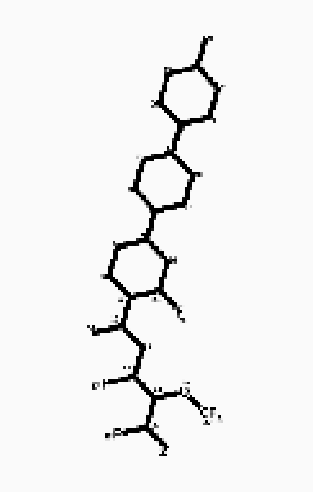 CC1CCC(C2CCC(C3CCC(C(C)CC(F)C(OC(F)(F)F)C(C)F)C(F)C3)CC2)CC1